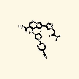 C[C@@H]1CN(c2ncc(C#N)cn2)C[C@H]1Nc1c(C(N)=O)cnn2cc(-c3cnn(CC(=O)N(C)C)c3)cc12